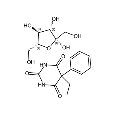 CCC1(c2ccccc2)C(=O)NC(=O)NC1=O.OC[C@H]1O[C@](O)(CO)[C@@H](O)[C@@H]1O